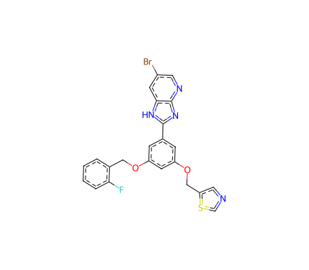 Fc1ccccc1COc1cc(OCc2cncs2)cc(-c2nc3ncc(Br)cc3[nH]2)c1